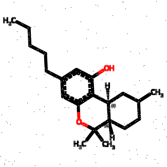 CCCCCc1cc(O)c2c(c1)OC(C)(C)[C@H]1CCC(C)C[C@H]21